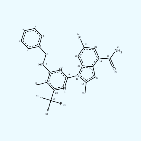 Cc1c(NCc2ccccc2)nc(-n2c(C)cc3c(C(N)=O)cc(F)cc32)nc1C(F)(F)F